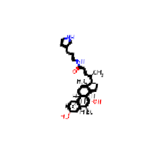 CC[C@H]1[C@@H](O)[C@@H]2[C@H](CC[C@]3(C)[C@@H]([C@H](C)CCC(=O)NCCCC4CCNC4)CC[C@@H]23)[C@@]2(C)CC[C@@H](O)C[C@@H]12